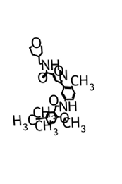 COc1ccc(C(C)(C)C)cc1C(=O)Nc1ccc(C)c(-c2cc(C(=O)NCC3CCOCC3)on2)c1